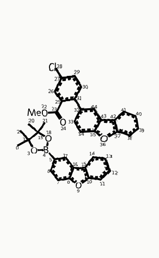 CC1(C)OB(c2ccc3oc4ccccc4c3c2)OC1(C)C.COC(=O)c1cc(Cl)ccc1-c1ccc2oc3ccccc3c2c1